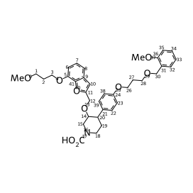 COCCCOc1cccc2cc(COC3CN(C(=O)O)CCC3c3ccc(OCCCOCc4ccccc4OC)cc3)oc12